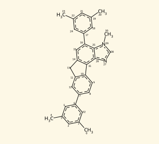 Cc1cc(C)cc(-c2ccc3c(c2)Cc2cc(-c4cc(C)cc(C)c4)c4c(ncn4C)c2-3)c1